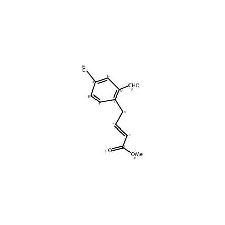 COC(=O)C=CCc1ccc(Cl)cc1C=O